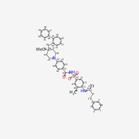 CC[C@@H](CSc1ccccc1)Nc1ccc(S(=O)(=O)NC(=O)c2ccc(N3CCC(Cc4ccccc4-c4ccccc4)(OC)CC3)cc2)cc1C